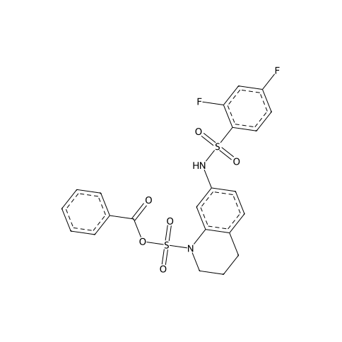 O=C(OS(=O)(=O)N1CCCc2ccc(NS(=O)(=O)c3ccc(F)cc3F)cc21)c1ccccc1